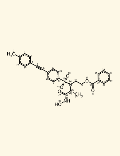 Cc1ccc(C#Cc2ccc(S(=O)(=O)N(CCOC(=O)c3ccccc3)[C@H](C)C(=O)NO)cc2)cc1